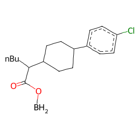 BOC(=O)C(CCCC)C1CCC(c2ccc(Cl)cc2)CC1